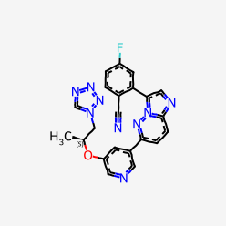 C[C@@H](Cn1cnnn1)Oc1cncc(-c2ccc3ncc(-c4cc(F)ccc4C#N)n3n2)c1